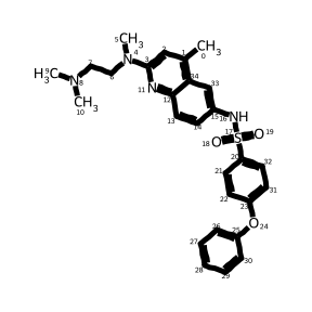 Cc1cc(N(C)CCN(C)C)nc2ccc(NS(=O)(=O)c3ccc(Oc4ccccc4)cc3)cc12